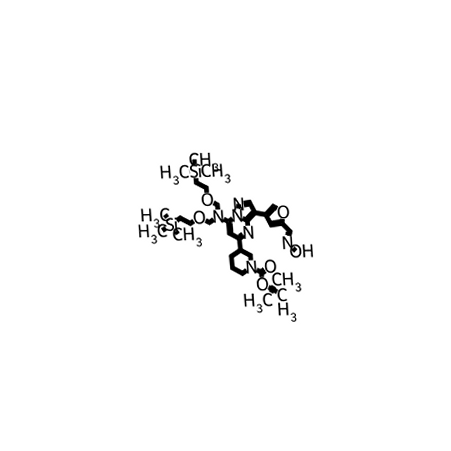 CC(C)(C)OC(=O)N1CCCC(c2cc(N(COCC[Si](C)(C)C)COCC[Si](C)(C)C)n3ncc(-c4coc(C=NO)c4)c3n2)C1